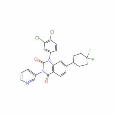 O=c1c2ccc(C3CCC(F)(F)CC3)cc2n(-c2ccc(Cl)c(Cl)c2)c(=O)n1-c1cccnc1